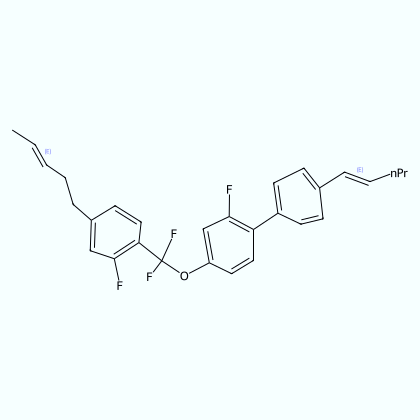 C/C=C/CCc1ccc(C(F)(F)Oc2ccc(-c3ccc(/C=C/CCC)cc3)c(F)c2)c(F)c1